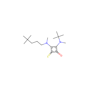 CN(CCCC(C)(C)C)c1c(N(C)C(C)(C)C)c(=O)c1=S